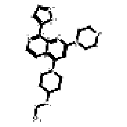 CCOC1CCN(c2cc(N3CCOCC3)nc3c(-c4ccn[nH]4)nccc23)CC1